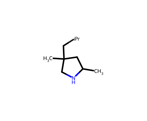 CC(C)CC1(C)CNC(C)C1